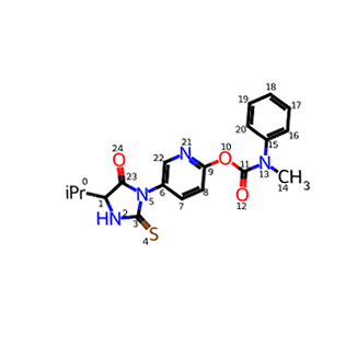 CC(C)C1NC(=S)N(c2ccc(OC(=O)N(C)c3ccccc3)nc2)C1=O